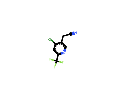 N#CCc1cnc(C(F)(F)F)cc1Cl